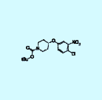 CC(C)(C)OC(=O)N1CCC(Oc2ccc(Cl)c([N+](=O)[O-])c2)CC1